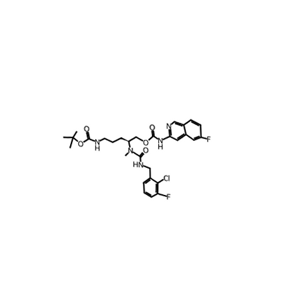 CN(C(=O)NCc1cccc(F)c1Cl)[C@@H](CCCNC(=O)OC(C)(C)C)COC(=O)Nc1cc2cc(F)ccc2cn1